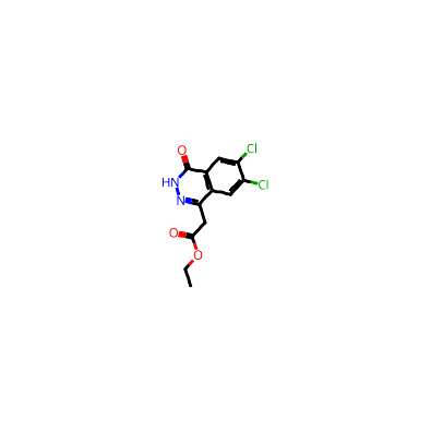 CCOC(=O)Cc1n[nH]c(=O)c2cc(Cl)c(Cl)cc12